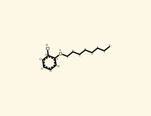 [CH2]CCCCCCCOc1ccccc1Cl